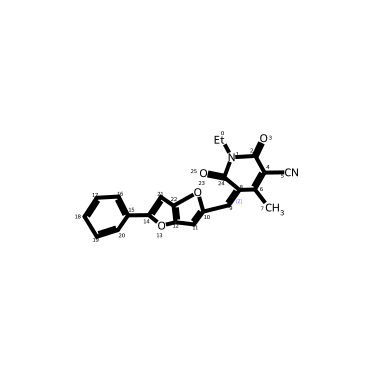 CCN1C(=O)C(C#N)=C(C)/C(=C/c2cc3oc(-c4ccccc4)cc3o2)C1=O